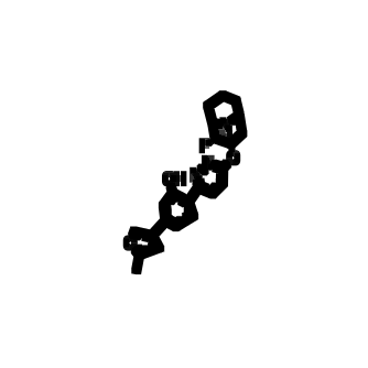 Cc1cc(-c2ccc(-c3ccc(O[C@H]4CC5CCCC(N5)[C@H]4F)nn3)c(O)c2)co1